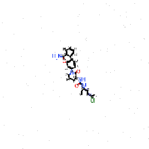 C=C/C(=C\C=C(/C)Cl)NC(=O)N[C@@H]1CCCN(c2ccc(-c3ccccc3C(N)=O)cc2)C1=O